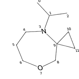 CC(C)N1CCCOCC12CC2